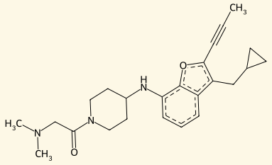 CC#Cc1oc2c(NC3CCN(C(=O)CN(C)C)CC3)cccc2c1CC1CC1